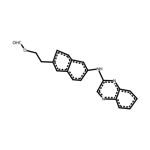 O=COCCc1ccc2cc(Nc3cnc4ccccc4n3)ccc2c1